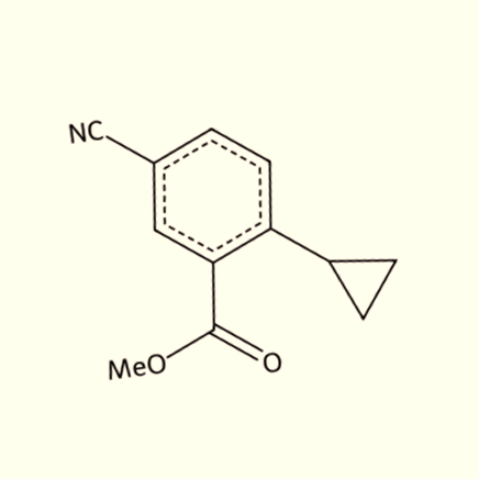 COC(=O)c1cc(C#N)ccc1C1CC1